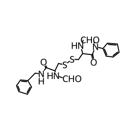 CN(C(=O)C(CSSCC(NC=O)C(=O)NCc1ccccc1)NC=O)c1ccccc1